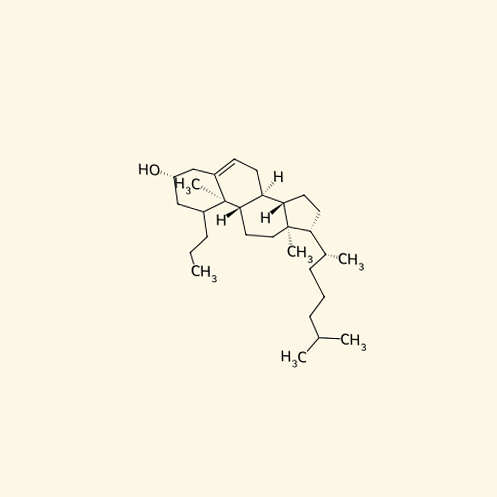 CCCC1C[C@H](O)CC2=CC[C@H]3[C@@H]4CC[C@H]([C@H](C)CCCC(C)C)[C@@]4(C)CC[C@@H]3[C@]21C